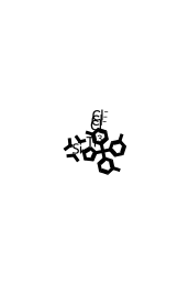 Cc1cccc(C(C2=CCC([Si](C(C)C)(C(C)C)C(C)C)=[C]2[Ti+3])(c2cccc(C)c2)c2cccc(C)c2)c1.[Cl-].[Cl-].[Cl-]